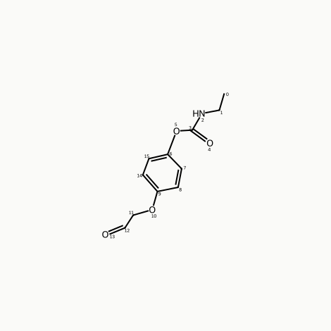 CCNC(=O)Oc1ccc(OCC=O)cc1